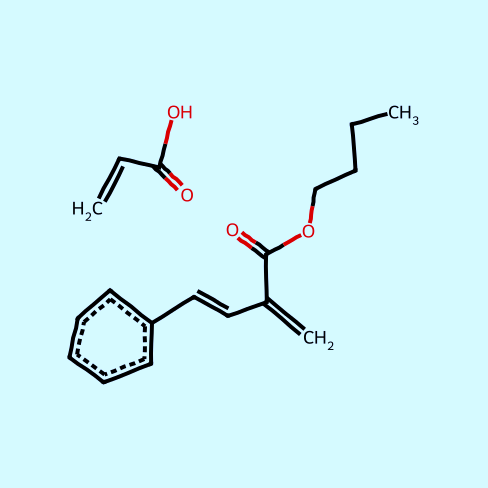 C=C(C=Cc1ccccc1)C(=O)OCCCC.C=CC(=O)O